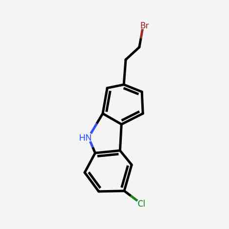 Clc1ccc2[nH]c3cc(CCBr)ccc3c2c1